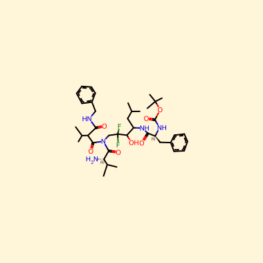 CC(C)CC(NC(=O)[C@H](Cc1ccccc1)NC(=O)OC(C)(C)C)C(O)C(F)(F)CN(C(=O)C(C(=O)NCc1ccccc1)C(C)C)C(=O)[C@@H](N)C(C)C